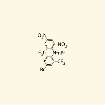 CCCN(c1ccc(Br)cc1C(F)(F)F)c1c([N+](=O)[O-])cc([N+](=O)[O-])cc1C(F)(F)F